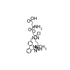 CCCCc1nc(Cl)c(COC(=O)[C@H](N)CCC(=O)O)n1Cc1ccc(-c2ccccc2-c2nn[nH]n2)cc1